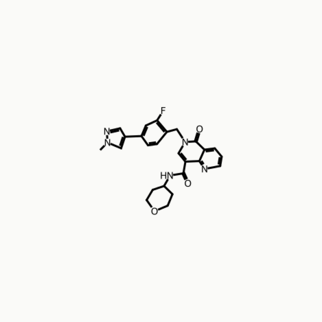 Cn1cc(-c2ccc(Cn3cc(C(=O)NC4CCOCC4)c4ncccc4c3=O)c(F)c2)cn1